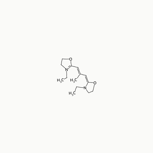 CCN1CCO/C1=C/C(C)=C/C1=[N+](CC)CCO1